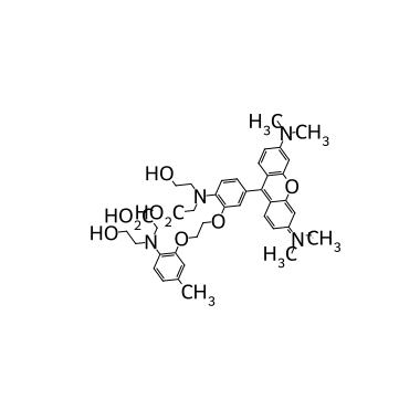 Cc1ccc(N(CCO)CC(=O)O)c(OCCOc2cc(-c3c4ccc(=[N+](C)C)cc-4oc4cc(N(C)C)ccc34)ccc2N(CCO)CC(=O)O)c1